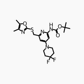 Cc1nc(SCc2cc(N3CCC(F)(F)CC3)cc(NC(=O)OC(C)(C)C)n2)oc1C